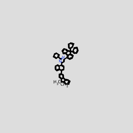 CC1(C)c2ccccc2-c2cc(-c3ccc(-c4cc(-c5cccc6c5-c5ccccc5C6(c5ccccc5)c5ccccc5)nc(-c5ccccc5)n4)c4ccccc34)ccc21